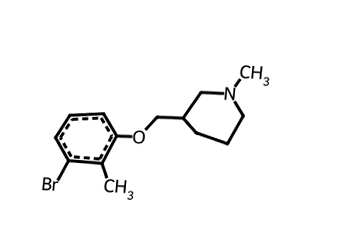 Cc1c(Br)cccc1OCC1CCCN(C)C1